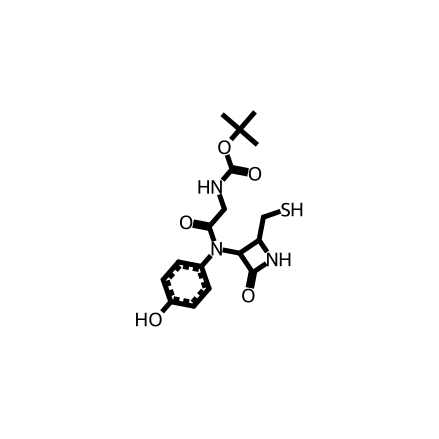 CC(C)(C)OC(=O)NCC(=O)N(c1ccc(O)cc1)C1C(=O)NC1CS